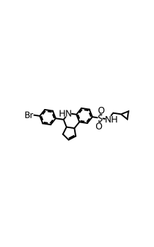 O=S(=O)(NCC1CC1)c1ccc2c(c1)C1C=CCC1C(c1ccc(Br)cc1)N2